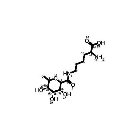 CC1OC(C(=O)NCCCCC(N)C(=O)O)[C@@H](O)[C@H](O)[C@H]1O